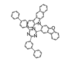 c1ccc(-c2ccc(-c3nc(-c4cccc(-c5ccccc5)c4)nc(-c4cc5c(cc4-n4c6ccccc6c6cc7ccccc7cc64)oc4ccccc45)n3)cc2)cc1